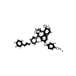 Cc1ccc(Oc2cccc(C(c3nnnn3-c3c(C)cccc3C)N3CCN(CC=Cc4ccccc4)CC3)c2)cc1